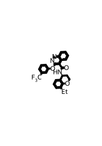 CCc1cccc2c1OCC[C@@H]2NC(=O)c1c(Oc2cccc(C(F)(F)F)c2)nnc2ccccc12